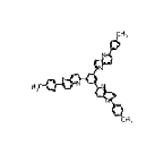 Cc1ccc(-c2ccc3nc(-c4cc(-c5ccc6nc(-c7ccc(C)cc7)ccc6n5)cc(-c5ccc6nc(-c7ccc(C)cc7)ccc6n5)c4)ccc3n2)cc1